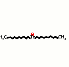 CCCCCCCCCCCC[Te](=O)CCCCCCCCCCCC